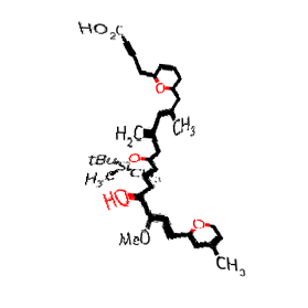 C=C(CC(C)CC1CC=CC(CC#CC(=O)O)O1)CC(C=CCC(O)C(C=CC1CC(C)=CCO1)OC)O[Si](C)(C)C(C)(C)C